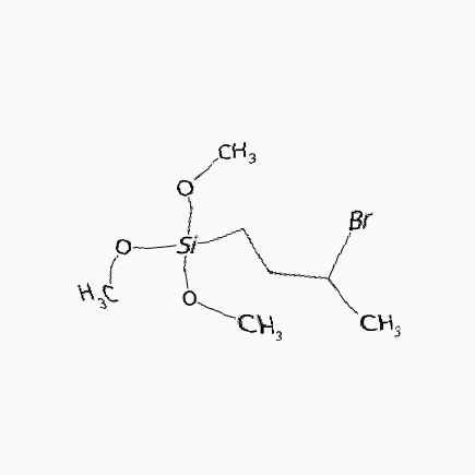 CO[Si](CCC(C)Br)(OC)OC